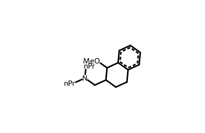 CCCN(CCC)CC1CCc2ccccc2C1OC